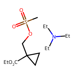 CCN(CC)CC.CCOC(=O)C1(COS(C)(=O)=O)CC1